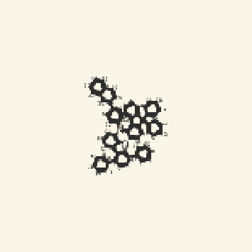 c1ccc(-c2ccc(-c3ccccc3)c3c2oc2c(N(c4ccc(-c5ccc6ccccc6c5)cc4)c4cccc5c4-c4ccccc4C5(c4ccccc4)c4ccccc4)cccc23)cc1